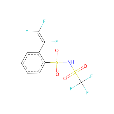 O=S(=O)(NS(=O)(=O)C(F)(F)F)c1ccccc1C(F)=C(F)F